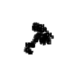 COC(=O)C1(N(C(=O)C(F)(F)F)c2cccc(Cl)c2)CCC2(CC1)c1cc(OCCCC(=O)NCCc3cccc(Br)c3)ccc1C[C@@H]2C[C@@H](C)COc1ccnc2c1[C@H](C)CCC2